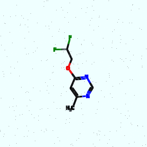 Cc1cc(OCC(F)F)ncn1